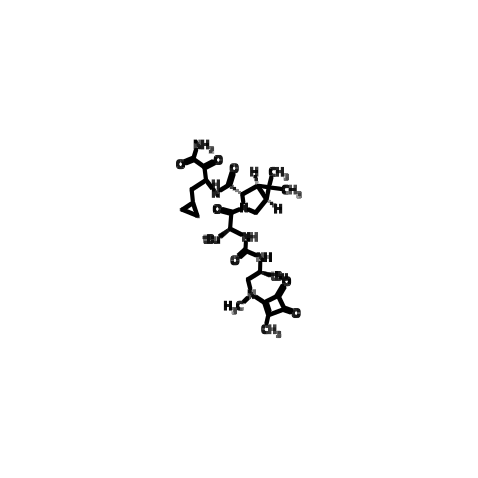 Cc1c(N(C)C[C@@H](NC(=O)N[C@H](C(=O)N2C[C@H]3[C@@H]([C@H]2C(=O)NC(CC2CC2)C(=O)C(N)=O)C3(C)C)C(C)(C)C)C(C)(C)C)c(=O)c1=O